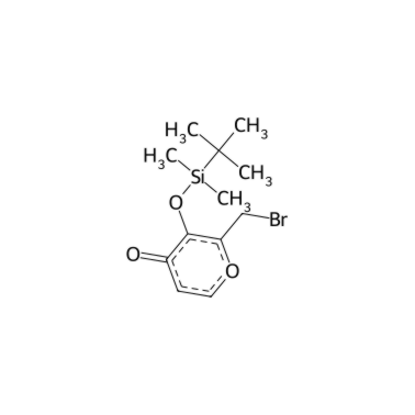 CC(C)(C)[Si](C)(C)Oc1c(CBr)occc1=O